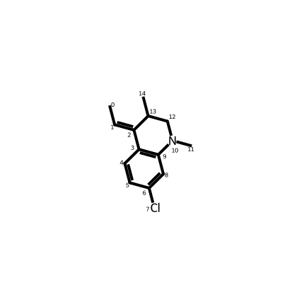 CC=C1c2ccc(Cl)cc2N(C)CC1C